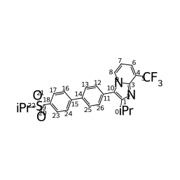 CC(C)c1nc2c(C(F)(F)F)cccn2c1-c1ccc(-c2ccc(S(=O)(=O)C(C)C)cc2)cc1